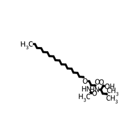 CCCCCCCCCCCCCCCCCCOCC(NC(C)=O)C(=O)NC(CC(C)C)C(=O)O